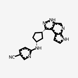 N#Cc1ccc(N[C@@H]2CC[C@H](c3n[nH]c4cnc5[nH]ccc5c34)C2)nc1